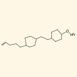 C=CCCCC1CCC(CCC2CCC(OCCC)CC2)CC1